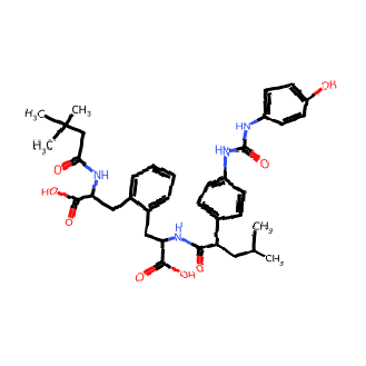 CC(C)CC(C(=O)NC(Cc1ccccc1CC(NC(=O)CC(C)(C)C)C(=O)O)C(=O)O)c1ccc(NC(=O)Nc2ccc(O)cc2)cc1